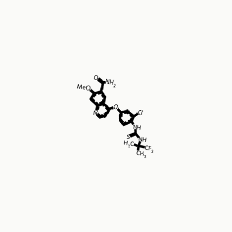 COc1cc2nccc(Oc3ccc(NC(=S)NC(C)(C)C(F)(F)F)c(Cl)c3)c2cc1C(N)=O